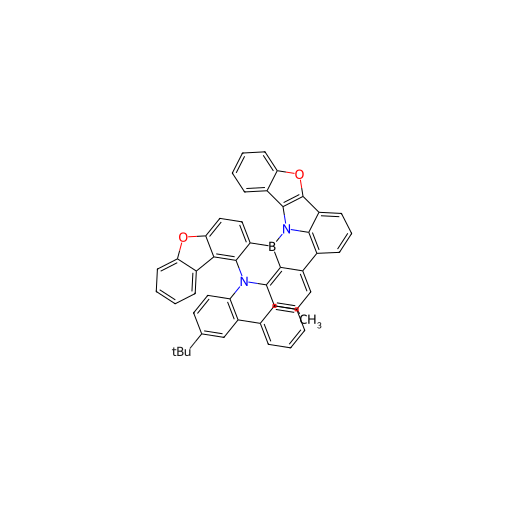 Cc1cc2c3c(c1)N(c1ccc(C(C)(C)C)cc1-c1ccccc1)c1c(ccc4oc5ccccc5c14)B3n1c3c-2cccc3c2oc3ccccc3c21